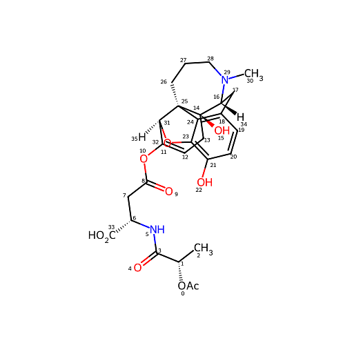 CC(=O)O[C@@H](C)C(=O)N[C@@H](CC(=O)OC1=CC[C@@]2(O)[C@H]3Cc4ccc(O)c5c4[C@@]2(CCCN3C)[C@H]1O5)C(=O)O